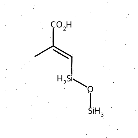 CC(=C[SiH2]O[SiH3])C(=O)O